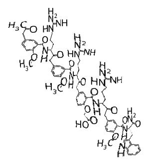 COc1ccc(CC(=O)[C@H](CCCNC(=N)N)NC(=O)c2cc(CC(=O)[C@H](CCCNC(=N)N)NC(=O)c3cc(CC(=O)[C@H](CCCNC(=N)N)NC(=O)c4cc(CC(C)=O)ccc4OC)ccc3OC)ccc2OCC(=O)O)cc1C(=O)N[C@@H](Cc1c[nH]c2ccccc12)C(N)=O